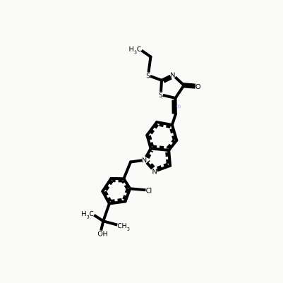 CCSC1=NC(=O)/C(=C/c2ccc3c(cnn3Cc3ccc(C(C)(C)O)cc3Cl)c2)S1